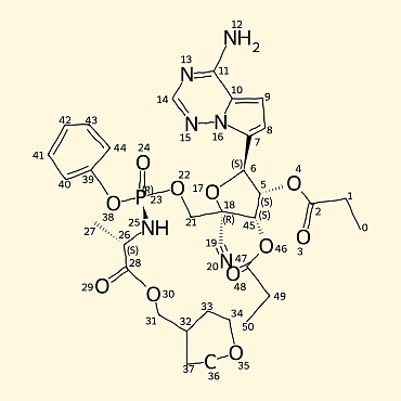 CCC(=O)O[C@H]1[C@H](c2ccc3c(N)ncnn23)O[C@](C#N)(CO[P@](=O)(N[C@@H](C)C(=O)OCC2CCOCC2)Oc2ccccc2)[C@H]1OC(=O)CC